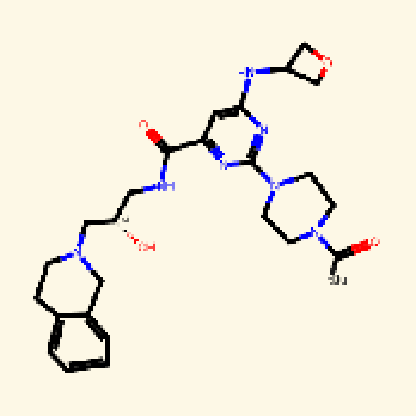 CC(C)(C)C(=O)N1CCN(c2nc(NC3COC3)cc(C(=O)NC[C@H](O)CN3CCc4ccccc4C3)n2)CC1